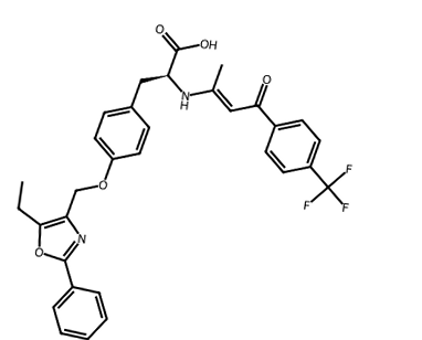 CCc1oc(-c2ccccc2)nc1COc1ccc(C[C@H](N/C(C)=C/C(=O)c2ccc(C(F)(F)F)cc2)C(=O)O)cc1